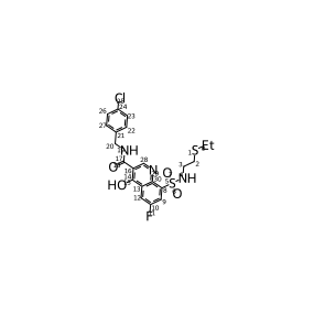 CCSCCNS(=O)(=O)c1cc(F)cc2c(O)c(C(=O)NCc3ccc(Cl)cc3)cnc12